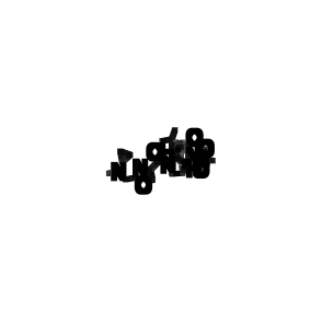 CC(C)[C@@H]1C(=O)N(S(C)(=O)=O)[C@@H]2CCN(C(=O)c3coc(CN(C)C4CC4)n3)[C@H]21